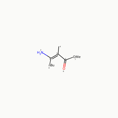 CCCCC(N)=C(C)C(=O)OC